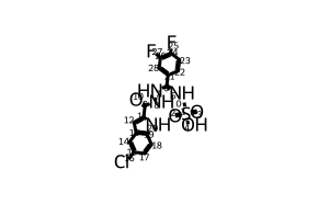 CS(=O)(=O)O.N=C(NNC(=O)c1cc2cc(Cl)ccc2[nH]1)c1ccc(F)c(F)c1